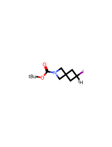 [2H]C1(I)CC2(CN(C(=O)OC(C)(C)C)C2)C1